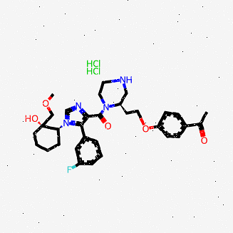 COC[C@]1(O)CCCC[C@H]1n1cnc(C(=O)N2CCNC[C@H]2CCOc2ccc(C(C)=O)cc2)c1-c1cccc(F)c1.Cl.Cl